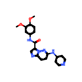 COc1ccc(NC(=O)c2cnc3ccc(Nc4ccncc4)nn23)cc1OC